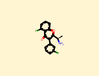 C[C@@H](N)c1oc2cccc(F)c2c(=O)c1-c1cccc(F)c1